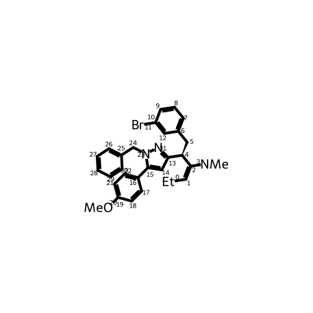 CC/C=C(/NC)[C@H](Cc1cccc(Br)c1)c1cc(-c2ccc(OC)cc2)n(Cc2ccccc2)n1